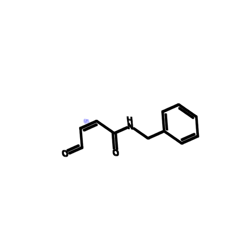 O=C/C=C\C(=O)NCc1ccccc1